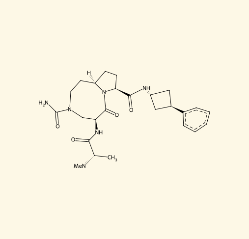 CN[C@@H](C)C(=O)N[C@H]1CN(C(N)=O)CC[C@H]2CC[C@@H](C(=O)N[C@H]3C[C@H](c4ccccc4)C3)N2C1=O